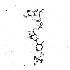 Cc1cc(OC(F)(F)F)ccc1B1OC(C)(C)[C@@](C)([C@@H](C)CCC(C)(C)OC(=O)Cn2c(=O)oc3ccc(Br)nc32)O1